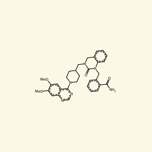 COc1cc2ncnc(N3CCC(CN4Cc5ccccc5N(Cc5ccccc5C(N)=O)C4=O)CC3)c2cc1OC